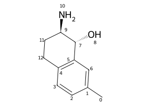 Cc1ccc2c(c1)[C@@H](O)[C@H](N)CC2